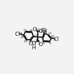 O=C(O)C(C(=O)O)(c1ccc(Cl)cc1Cl)c1ccc(Cl)cc1Cl